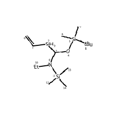 C=C[SiH2]C(O[Si](C)(C)C(C)(C)C)N(CC)[Si](C)(C)C